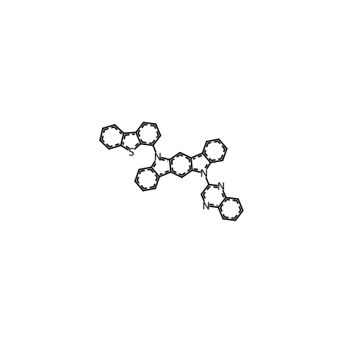 c1ccc2nc(-n3c4ccccc4c4cc5c(cc43)c3ccccc3n5-c3cccc4c3sc3ccccc34)cnc2c1